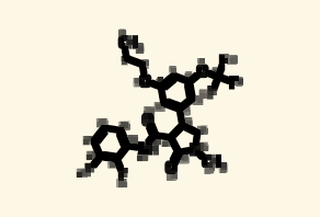 CCCOc1cc(OC(F)(F)F)cc(C2CN(C)C(=O)C2C(=O)Nc2cccc(F)c2F)c1